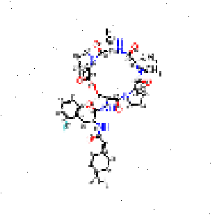 CC1CCC(=CC(=O)N[C@@H](Cc2ccccc2F)C(=O)N[C@H]2COC(=O)[C@@H]3CCCN3C(=O)[C@H](C)NC(=O)[C@H](C)N(C)C(=O)[C@@H]3CCCN3C2=O)CC1